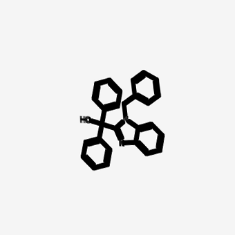 OC(c1ccccc1)(c1ccccc1)c1nc2ccccc2n1Cc1ccccc1